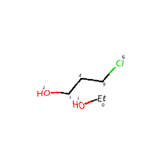 CCO.OCCCCl